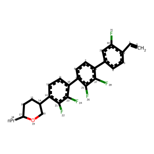 C=Cc1ccc(-c2ccc(-c3ccc(C4CCC(CCC)OC4)c(F)c3F)c(F)c2F)cc1F